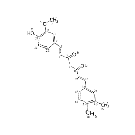 COc1cc(/C=C/C(=O)CC(=O)/C=C/c2ccc(C)c(C)c2)ccc1O